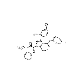 C[C@@H](NC(=O)c1nn(-c2ccc(Cl)cc2Cl)c2c1CCC/C2=C\c1ccc(I)cc1)c1ccccc1